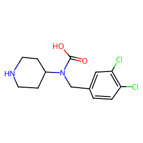 O=C(O)N(Cc1ccc(Cl)c(Cl)c1)C1CCNCC1